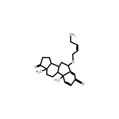 CC/C=C\COC1CC2C(CCC3(C)C(=O)CCC23)C2(C)C=CC(=O)C=C12